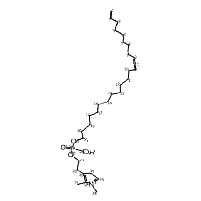 CCCCCCCC/C=C\CCCCCCCCCCCCOP(=O)(O)OCCC1=C(C)[N+](C)=CC1